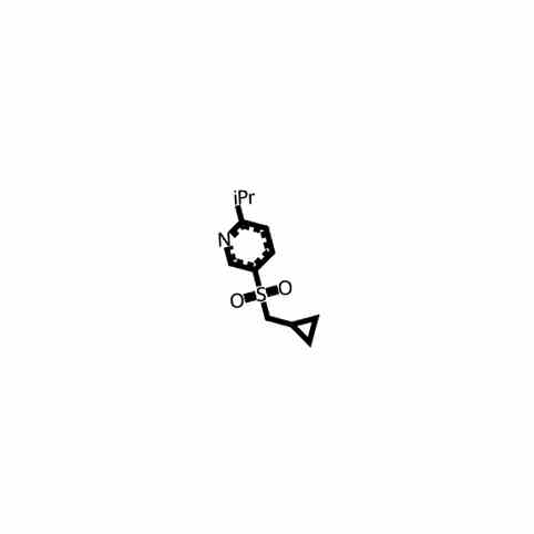 CC(C)c1ccc(S(=O)(=O)CC2CC2)cn1